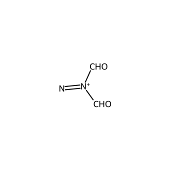 [N-]=[N+](C=O)C=O